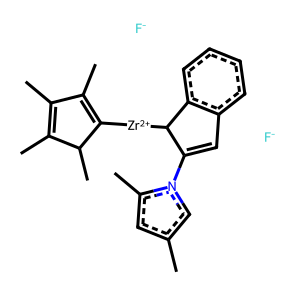 CC1=C(C)C(C)[C]([Zr+2][CH]2C(n3cc(C)cc3C)=Cc3ccccc32)=C1C.[F-].[F-]